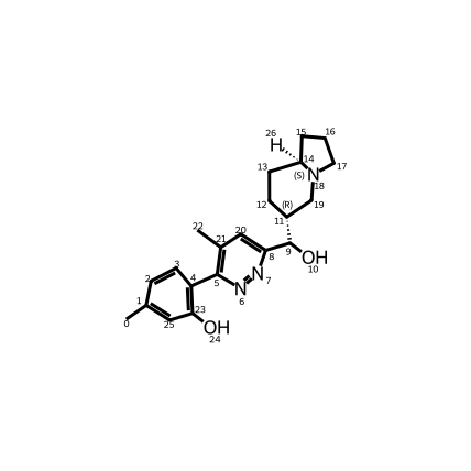 Cc1ccc(-c2nnc(C(O)[C@@H]3CC[C@H]4CCCN4C3)cc2C)c(O)c1